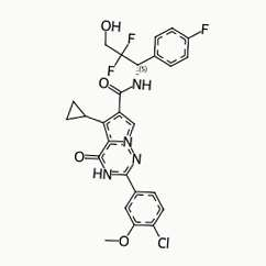 COc1cc(-c2nn3cc(C(=O)N[C@@H](c4ccc(F)cc4)C(F)(F)CO)c(C4CC4)c3c(=O)[nH]2)ccc1Cl